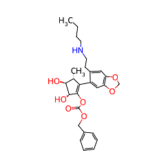 CCCCNCCc1cc2c(cc1C1=C(OC(=O)OCc3ccccc3)[C@@H](O)[C@@H](O)[C@@H]1C)OCO2